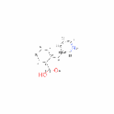 O=C(O)C1CCCCC1Cc1cccnc1